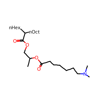 CCCCCCCCC(CCCCCC)C(=O)OCC(C)OC(=O)CCCCCCN(C)C